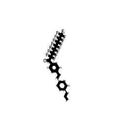 CCC[C@H]1CC[C@H](CCc2ccc(C(=O)C(F)(F)C(F)(F)C(F)(F)C(F)(F)C(F)(F)C(F)(F)C(F)(F)F)cc2)CC1